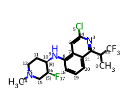 CC(c1nc(Cl)cc2c(N[C@@H]3CCN(C)C[C@@H]3F)cccc12)C(F)(F)F